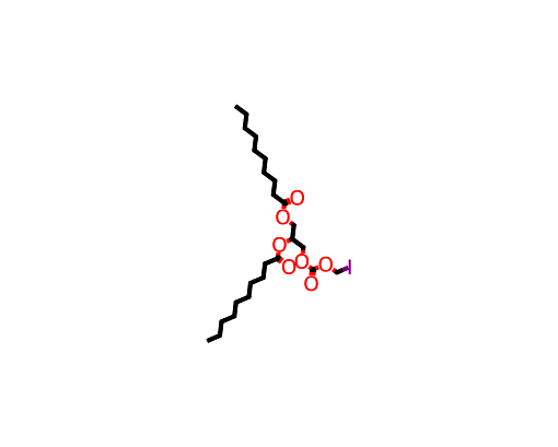 CCCCCCCCCC(=O)OCC(COC(=O)OCI)OC(=O)CCCCCCCCC